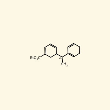 CCOC(=O)C1=CC=CC([C@H](C)C2=CCCC=C2)C1